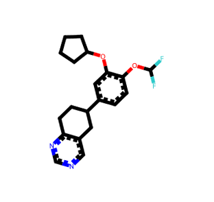 FC(F)Oc1ccc(C2CCc3ncncc3C2)cc1OC1CCCC1